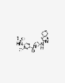 C=CC(=O)Nc1ccc(C(=O)N2CCC(Nc3ncc4ccccc4n3)C2)cc1Cl